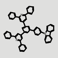 c1ccc(-c2cc(-c3cc(-c4ccc(-n5c6ccccc6c6ccccc65)cc4)cc(-c4cc(-c5ccccc5)nc(-c5ccccc5)c4)c3)cc(-c3ccccc3)n2)cc1